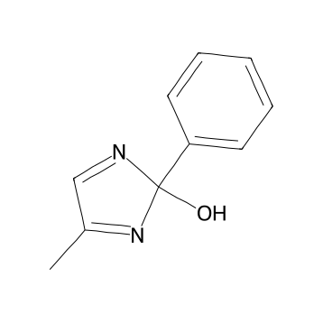 CC1=NC(O)(c2ccccc2)N=C1